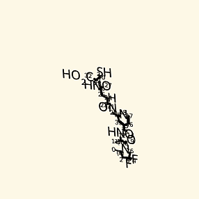 C[C@@H]1CC(F)(F)CN1C(=O)[C@@H](C)NC(=O)c1ccnc(CNC(=O)CCC(=O)NC(CS)C(=O)O)c1